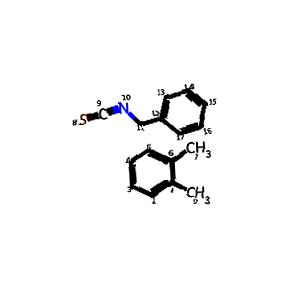 Cc1ccccc1C.S=C=NCc1ccccc1